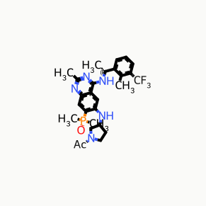 CC(=O)N1CCC(Nc2cc3c(N[C@H](C)c4cccc(C(F)(F)F)c4C)nc(C)nc3cc2P(C)(C)=O)C1